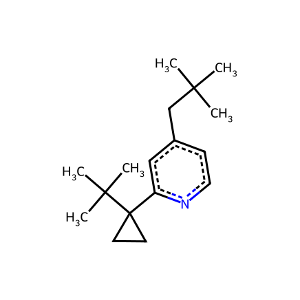 CC(C)(C)Cc1ccnc(C2(C(C)(C)C)CC2)c1